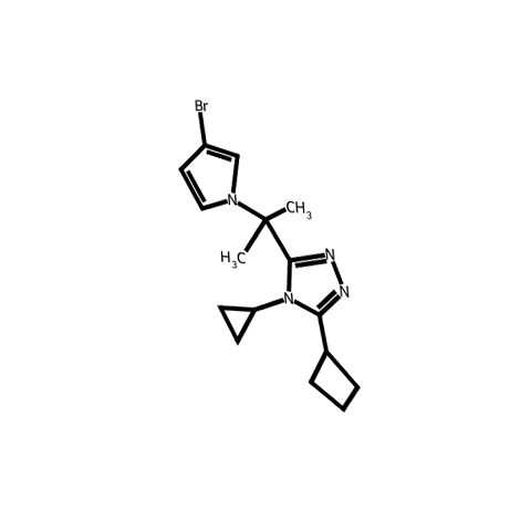 CC(C)(c1nnc(C2CCC2)n1C1CC1)n1ccc(Br)c1